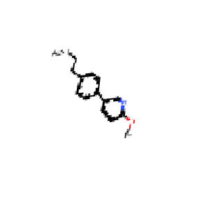 CCOc1ccc(-c2ccc(CCNC(C)=O)cc2)cn1